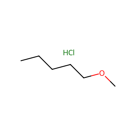 CCCCCOC.Cl